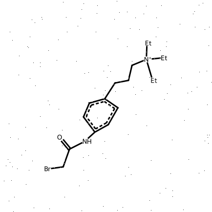 CC[N+](CC)(CC)CCCc1ccc(NC(=O)CBr)cc1